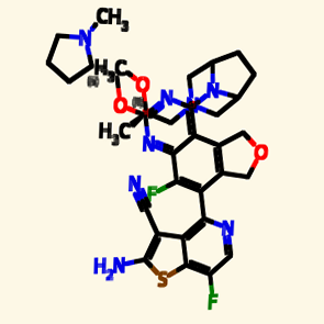 CO[C@H](C)CN1CC2CCC(C1)N2c1nc(OC[C@@H]2CCCN2C)nc2c(F)c(-c3ncc(F)c4sc(N)c(C#N)c34)c3c(c12)COC3